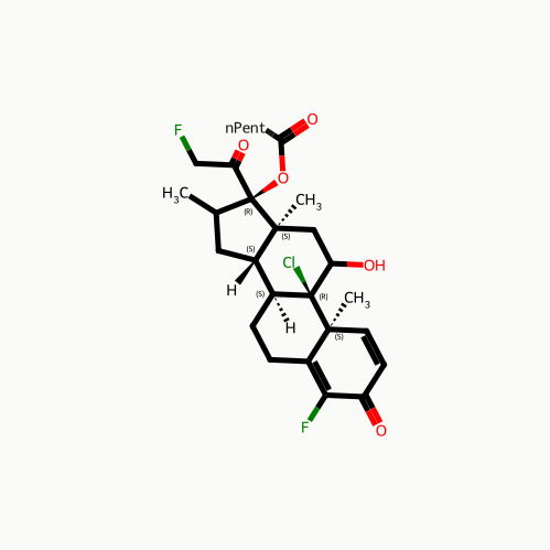 CCCCCC(=O)O[C@]1(C(=O)CF)C(C)C[C@H]2[C@@H]3CCC4=C(F)C(=O)C=C[C@]4(C)[C@@]3(Cl)C(O)C[C@@]21C